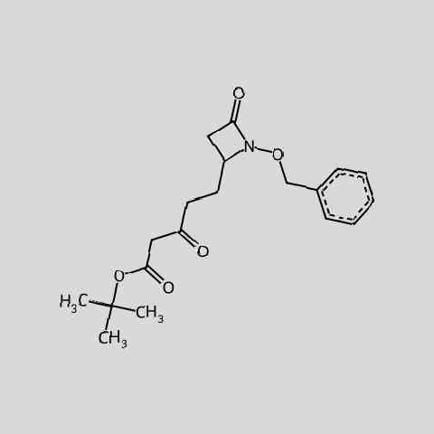 CC(C)(C)OC(=O)CC(=O)CCC1CC(=O)N1OCc1ccccc1